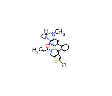 C=CC(=O)N1Cc2sc(Cl)cc2[C@H](c2ccccc2-c2cnc3c(c2)N(C)C[C@@H]2CCCN32)C1